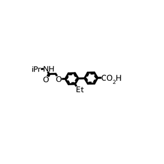 CCc1cc(OCC(=O)NC(C)C)ccc1-c1ccc(C(=O)O)cc1